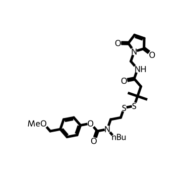 CCCCN(CCSSC(C)(C)CC(=O)NCN1C(=O)C=CC1=O)C(=O)Oc1ccc(COC)cc1